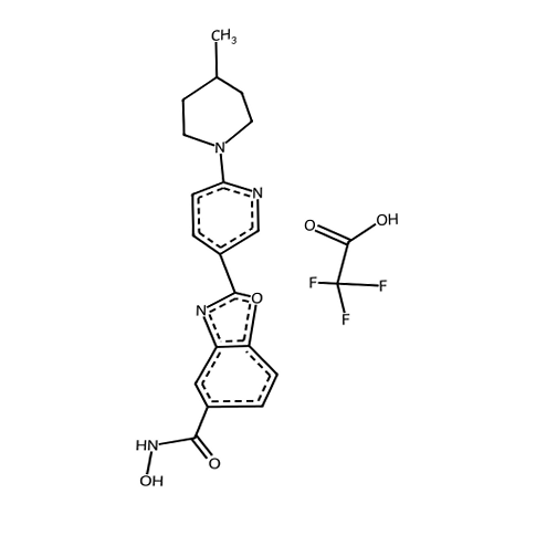 CC1CCN(c2ccc(-c3nc4cc(C(=O)NO)ccc4o3)cn2)CC1.O=C(O)C(F)(F)F